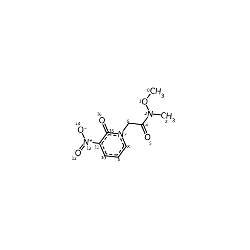 CON(C)C(=O)Cn1cccc([N+](=O)[O-])c1=O